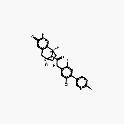 O=C(Nc1cc(Cl)c(-c2cnc(F)nc2)cc1F)N1[C@H]2CC[C@@H]1c1n[nH]c(=O)cc1C2